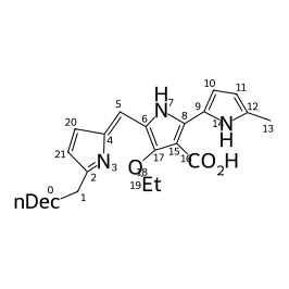 CCCCCCCCCCCC1=NC(=Cc2[nH]c(-c3ccc(C)[nH]3)c(C(=O)O)c2OCC)C=C1